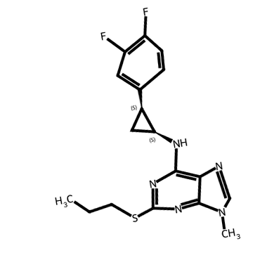 CCCSc1nc(N[C@H]2C[C@H]2c2ccc(F)c(F)c2)c2ncn(C)c2n1